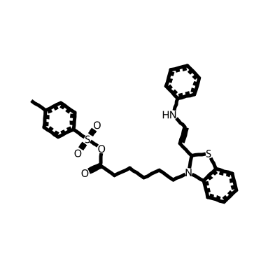 Cc1ccc(S(=O)(=O)OC(=O)CCCCCN2c3ccccc3SC2C=CNc2ccccc2)cc1